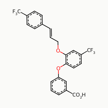 O=C(O)c1cccc(Oc2ccc(C(F)(F)F)cc2OCC=Cc2ccc(C(F)(F)F)cc2)c1